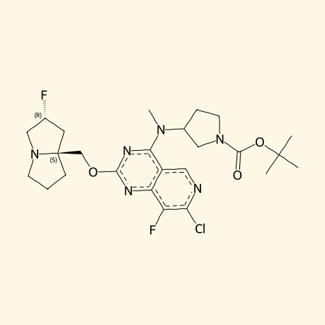 CN(c1nc(OC[C@@]23CCCN2C[C@H](F)C3)nc2c(F)c(Cl)ncc12)C1CCN(C(=O)OC(C)(C)C)C1